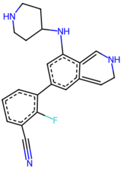 N#Cc1cccc(-c2cc(NC3CCNCC3)c3c(c2)=CCNC=3)c1F